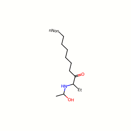 CCCCCCCCCCCCCCCC(=O)C(CC)NC(C)O